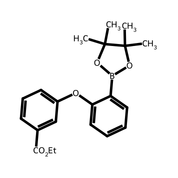 CCOC(=O)c1cccc(Oc2ccccc2B2OC(C)(C)C(C)(C)O2)c1